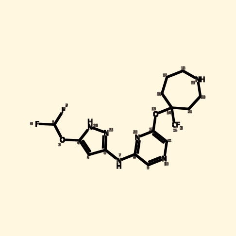 FC(F)Oc1cc(Nc2cncc(OC3(C(F)(F)F)CCCNCC3)n2)n[nH]1